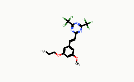 CCCOc1cc(C=Cc2nc(C(Cl)(Cl)Cl)nc(C(Cl)(Cl)Cl)n2)cc(OC)c1